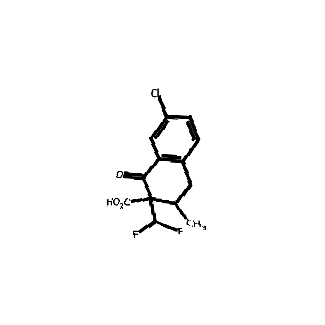 CC1Cc2ccc(Cl)cc2C(=O)C1(C(=O)O)C(F)F